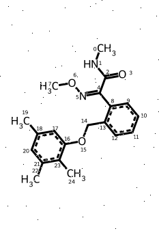 CNC(=O)C(=NOC)c1ccccc1COc1cc(C)cc(C)c1C